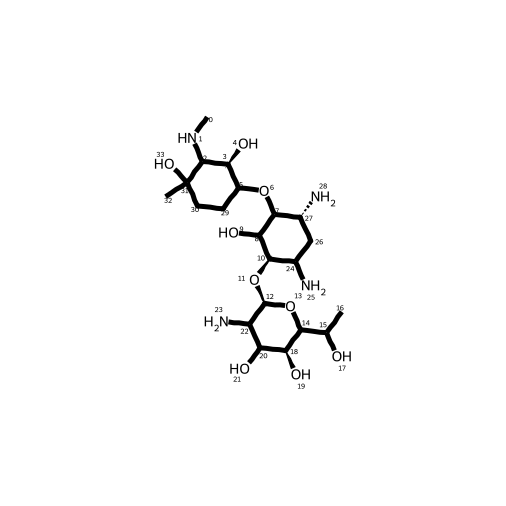 CNC1[C@@H](O)C(OC2C(O)[C@H](O[C@H]3OC(C(C)O)[C@@H](O)C(O)C3N)C(N)C[C@H]2N)CCC1(C)O